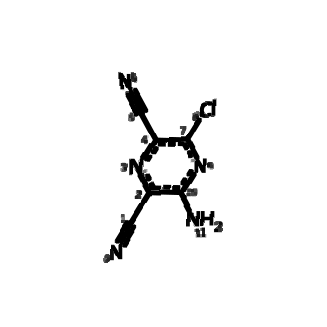 N#Cc1nc(C#N)c(Cl)nc1N